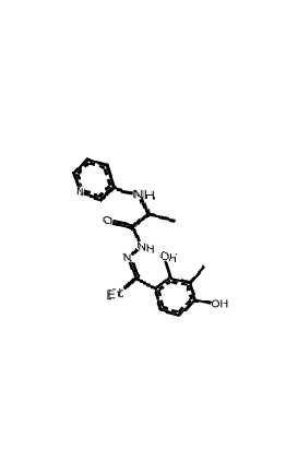 CCC(=NNC(=O)C(C)Nc1cccnc1)c1ccc(O)c(C)c1O